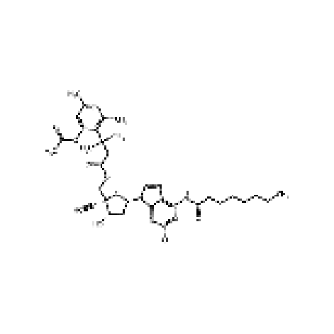 C#C[C@]1(COC(=O)CC(C)(C)c2c(C)cc(C)cc2OC(C)=O)O[C@@H](n2cnc3c(NC(=O)CCCCCCC)nc(Cl)nc32)C[C@@H]1O